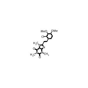 COc1ccc(C=Cc2nc3c(c(=O)n(C)c(=O)n3C)n2C)c(Cl)c1OC